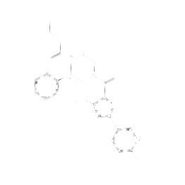 CCOC(=O)[C@@H]1CCN(C(=O)c2sc(-c3ccc(C)nc3)nc2C)C[C@H]1c1ccccc1